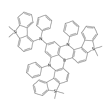 C[Si]1(C)c2ccccc2-c2c(N(c3ccccc3)c3cc4c5c(c3)N(c3ccccc3)c3c(ccc6c3-c3ccccc3[Si]6(C)C)B5c3ccc5c(c3N4c3ccccc3)-c3ccccc3[Si]5(C)C)cccc21